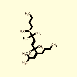 CCCCC(=CC(C)C)C(C)(C)C=CC(C)(C)N(C)CCCC